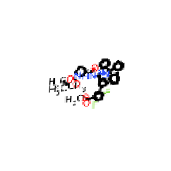 COC(=O)c1cc(-c2ccc3c(c2)c(NC(=O)[C@@H]2CCCN(C(=O)OC(C)(C)C)C2)nn3C(c2ccccc2)(c2ccccc2)c2ccccc2)c(F)cc1F